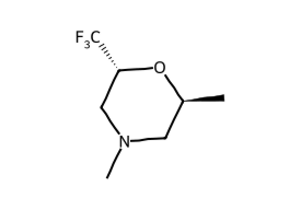 C[C@H]1CN(C)C[C@H](C(F)(F)F)O1